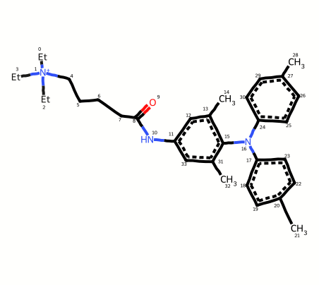 CC[N+](CC)(CC)CCCCC(=O)Nc1cc(C)c(N(c2ccc(C)cc2)c2ccc(C)cc2)c(C)c1